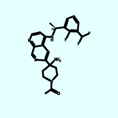 CC(=O)N1CCC(N)(c2cc3c(N[C@H](C)c4cccc(C(F)F)c4F)ccnc3cn2)CC1